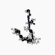 C/C=C/[C@@H]1O[C@H]([C@@H](/C=C/C=C(\C)C[C@@H](C)/C=C(C)\C=C\[C@H]2CC=CC(=O)O2)NC(=O)CC/C(N)=C/N(N)c2ccc(C(=O)NCCCC[C@H](NC(=O)[C@H](CC(=O)O)NC(=O)[C@H](CC(=O)O)NC(=O)[C@@H](CC(=O)O)NC(=O)CC[C@@H](C)NC(=O)c3ccc(NCc4cnc5nc(N)nc(O)c5n4)cc3)C(=O)O)cc2)C[C@@H](O)[C@@H]1C